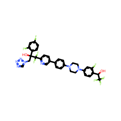 OC(c1ccc(N2CCN(c3ccc(-c4ccc(C(F)(F)C(O)(Cn5cnnn5)c5ccc(F)cc5F)nc4)cc3)CC2)cc1F)C(F)(F)F